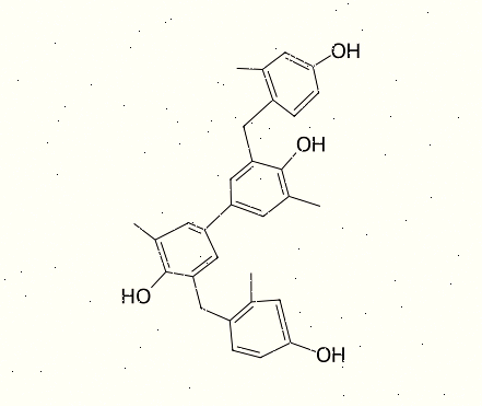 Cc1cc(O)ccc1Cc1cc(-c2cc(C)c(O)c(Cc3ccc(O)cc3C)c2)cc(C)c1O